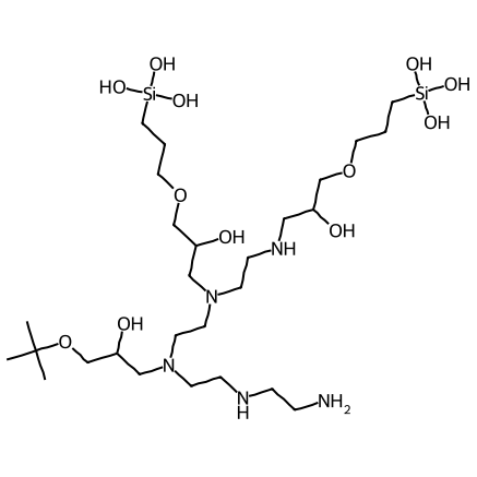 CC(C)(C)OCC(O)CN(CCNCCN)CCN(CCNCC(O)COCCC[Si](O)(O)O)CC(O)COCCC[Si](O)(O)O